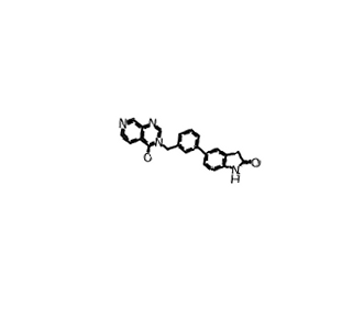 O=C1Cc2cc(-c3cccc(Cn4cnc5cnccc5c4=O)c3)ccc2N1